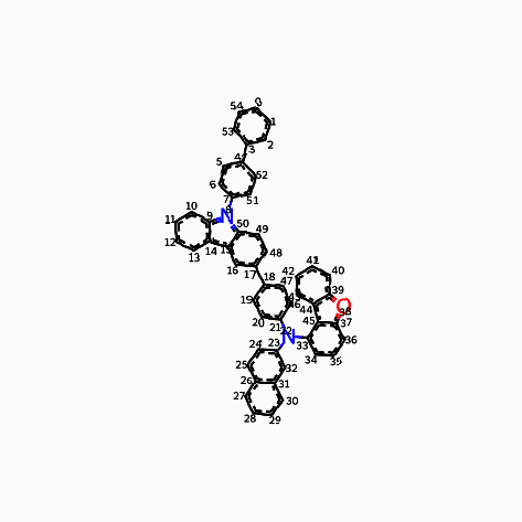 c1ccc(-c2ccc(-n3c4ccccc4c4cc(-c5ccc(N(c6ccc7ccccc7c6)c6cccc7oc8ccccc8c67)cc5)ccc43)cc2)cc1